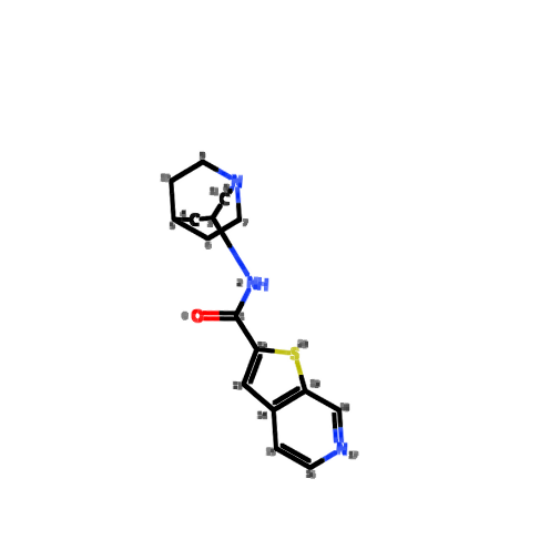 O=C(NC1CC2CCN(CC2)C1)c1cc2ccncc2s1